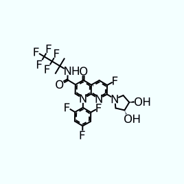 CC(C)(NC(=O)c1cn(-c2c(F)cc(F)cc2F)c2nc(N3C[C@@H](O)[C@H](O)C3)c(F)cc2c1=O)C(F)(F)C(F)(F)F